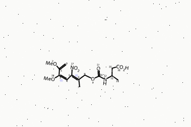 C=C(OC)/C(=C\C(=C(/C)COC(=O)NC(C)CC(=O)O)[N+](=O)[O-])OC